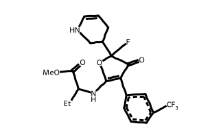 CCC(NC1=C(c2cccc(C(F)(F)F)c2)C(=O)C(F)(C2CC=CNC2)O1)C(=O)OC